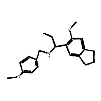 CCC(NCc1ccc(OC)cc1)c1cc2c(cc1OC)CCC2